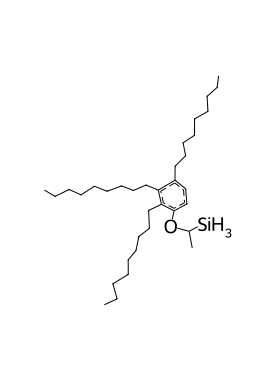 CCCCCCCCCc1ccc(OC(C)[SiH3])c(CCCCCCCCC)c1CCCCCCCCC